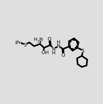 CC(C)SCC[C@@H](N)C(O)C(=O)NNC(=O)c1cccc(SC2CCCCC2)c1